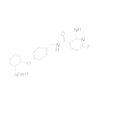 CCCCCc1ccccc1Oc1ccc(CNC(=O)c2ccc(F)nc2N)cc1